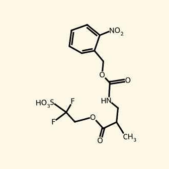 CC(CNC(=O)OCc1ccccc1[N+](=O)[O-])C(=O)OCC(F)(F)S(=O)(=O)O